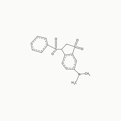 CN(C)c1ccc2c(c1)S(=O)(=O)CC2S(=O)(=O)c1ccccc1